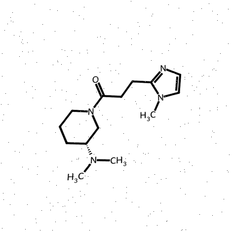 CN(C)[C@@H]1CCCN(C(=O)CCc2nccn2C)C1